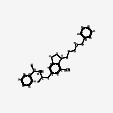 C[C@H](Cc1cc(C#N)c2c(c1)CCN2CCCOCc1ccccc1)N[C@H](C)c1ccccc1